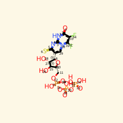 O=c1[nH]c2nc(=S)c([C@@H]3O[C@H](COP(=O)(O)OP(=O)(O)OP(=O)(O)O)C(O)[C@@H]3O)cn2c(F)c1F